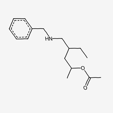 CCC(CNCc1ccccc1)CC(C)OC(C)=O